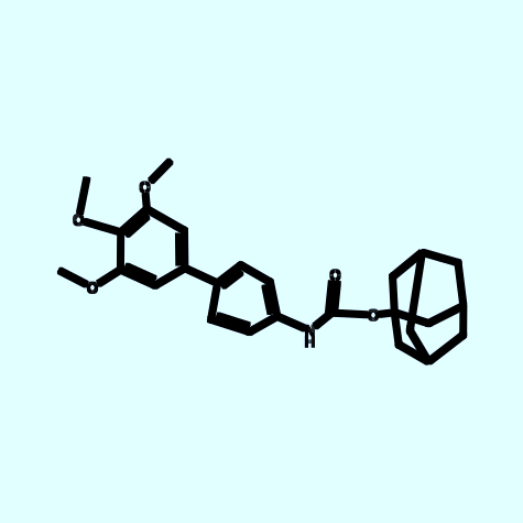 COc1cc(-c2ccc(NC(=O)OC34CC5CC(CC(C5)C3)C4)cc2)cc(OC)c1OC